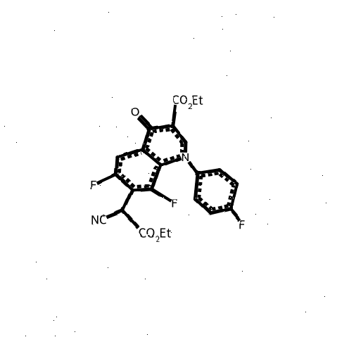 CCOC(=O)c1cn(-c2ccc(F)cc2)c2c(F)c(C(C#N)C(=O)OCC)c(F)cc2c1=O